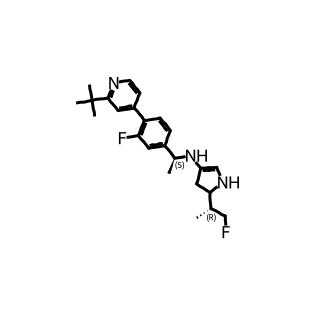 C[C@H](NC1=CNC([C@@H](C)CF)C1)c1ccc(-c2ccnc(C(C)(C)C)c2)c(F)c1